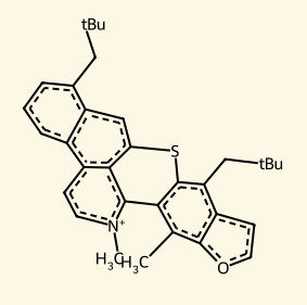 Cc1c2c(c(CC(C)(C)C)c3ccoc13)Sc1cc3c(CC(C)(C)C)cccc3c3cc[n+](C)c-2c13